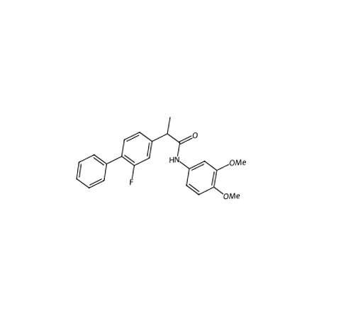 COc1ccc(NC(=O)C(C)c2ccc(-c3ccccc3)c(F)c2)cc1OC